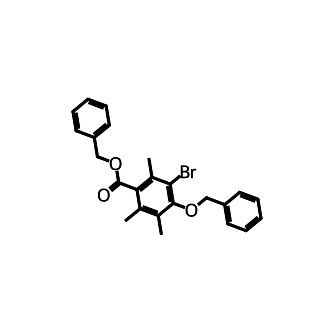 Cc1c(C)c(C(=O)OCc2ccccc2)c(C)c(Br)c1OCc1ccccc1